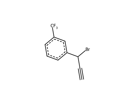 C#CC(Br)c1cccc(C(F)(F)F)c1